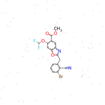 COC(=O)c1cc2nc(Cc3cccc(Br)c3C#N)oc2cc1OC(F)F